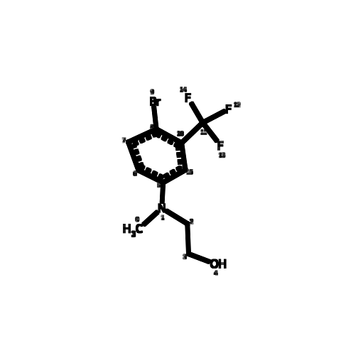 CN(CCO)c1ccc(Br)c(C(F)(F)F)c1